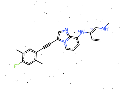 C=C/C(=C\NC)Nc1cccn2c(C#Cc3cc(C)c(F)cc3C)cnc12